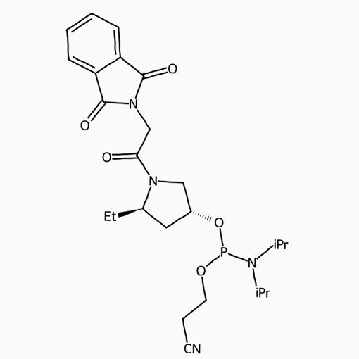 CC[C@@H]1C[C@@H](OP(OCCC#N)N(C(C)C)C(C)C)CN1C(=O)CN1C(=O)c2ccccc2C1=O